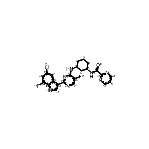 O=C(N[C@@H]1CCC[C@H](Nc2nc(-c3c[nH]c4c(F)cc(Cl)cc34)ncc2F)C1)c1ncccn1